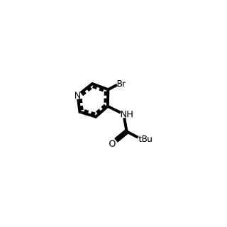 CC(C)(C)C(=O)Nc1ccncc1Br